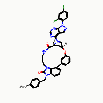 COc1ccc(Cn2c(=O)n3c4c(cccc42)-c2cccc(c2)O[C@H]2C[C@@H](C(=O)NCCC3)N(c3ncnc4c3cnn4-c3ccc(F)cc3F)C2)cc1